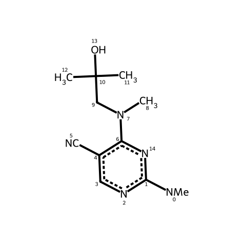 CNc1ncc(C#N)c(N(C)CC(C)(C)O)n1